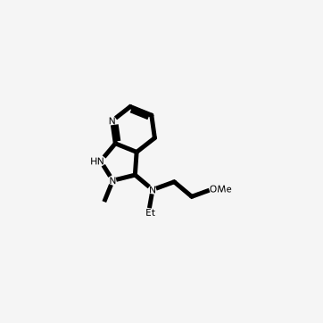 CCN(CCOC)C1C2CC=CN=C2NN1C